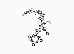 CC(C)CC(NC(=O)C(C)Nc1ccccc1C(=O)CNC(=O)C(CCCCN)N(C(=O)CCC(=O)Nc1ccc(-c2c3nc(c(-c4ccccc4)c4ccc([nH]4)c(-c4ccccc4)c4nc(c(-c5ccccc5)c5ccc2[nH]5)C=C4)C=C3)cc1)C(=O)CN(C)C(=O)OCc1ccccc1)C(=O)NCC(=O)NCCNC(=O)CN(C)C(=O)OCc1ccccc1